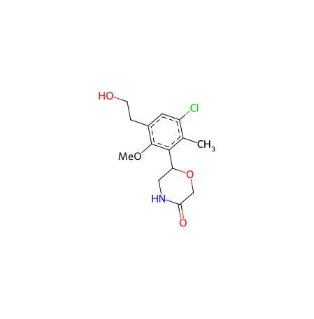 COc1c(CCO)cc(Cl)c(C)c1C1CNC(=O)CO1